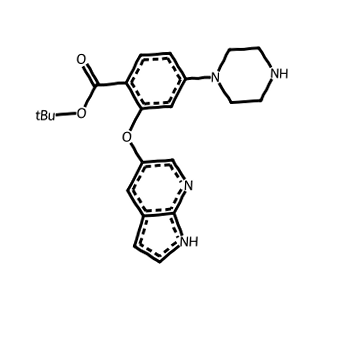 CC(C)(C)OC(=O)c1ccc(N2CCNCC2)cc1Oc1cnc2[nH]ccc2c1